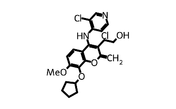 C=C1Oc2c(ccc(OC)c2OC2CCCC2)C(Nc2c(Cl)cncc2Cl)=C1CCO